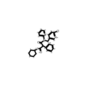 O=C(SC1CCCCC1)C(C(=O)N(Cc1ccc(Cl)nc1)c1ccccn1)c1ccccc1